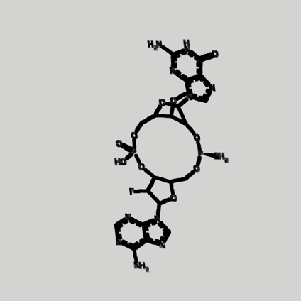 B[P@@]1OCC2OC(n3cnc4c(N)ncnc43)C(F)C2OP(=O)(O)OCC2OC(n3cnc4c(=O)[nH]c(N)nc43)C(O1)C2OC